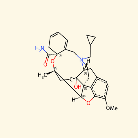 COc1ccc2c3c1O[C@@H]1[C@]34CC[N+]3(CC5CC5)CC5=CC=CC[C@]5(C(N)=O)O[C@@]1(C)CCC4(O)[C@H]3C2